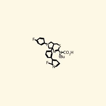 CC(C)(C)N(C(=O)O)C1=NC2(c3cccc(-c4cccnc4F)c3)CN(c3ccc(F)cc3)CC2CS1